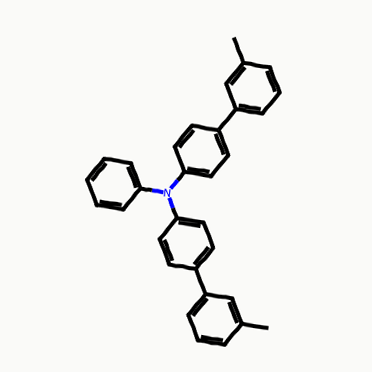 Cc1cccc(-c2ccc(N(c3ccccc3)c3ccc(-c4cccc(C)c4)cc3)cc2)c1